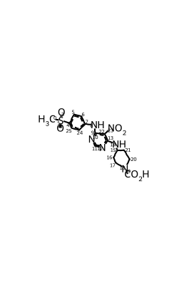 CS(=O)(=O)c1ccc(Nc2ncnc(NC3CCN(C(=O)O)CC3)c2[N+](=O)[O-])cc1